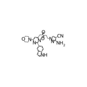 N#Cc1cn(CCS(=O)(=O)Cc2cc(N3CCOCC3)nc(-c3ccc4[nH]ccc4c3)n2)nc1N